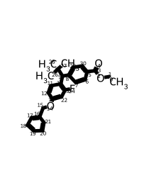 CCOC(=O)c1ccc(C(c2ccc(OCc3ccccc3)cc2F)C(C)(C)C)cc1